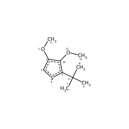 COc1csc(C(C)(C)C)c1OC